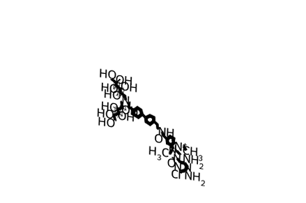 CCn1c(CN(C=O)c2nc(Cl)c(N)nc2N)[n+](CC)c2ccc(C(=O)NCCc3ccc(-c4ccc(CCN(C[C@H](O)[C@@H](O)[C@H](O)[C@H](O)CO)C[C@H](O)[C@@H](O)[C@H](O)[C@H](O)CO)cc4)cc3)cc21